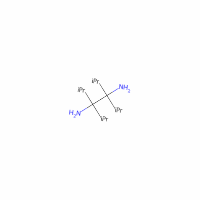 CC(C)C(N)(C(C)C)C(N)(C(C)C)C(C)C